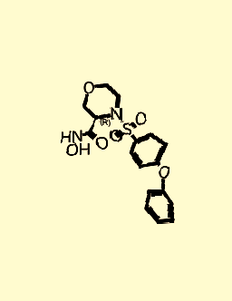 O=C(NO)[C@H]1COCCN1S(=O)(=O)c1ccc(Oc2ccccc2)cc1